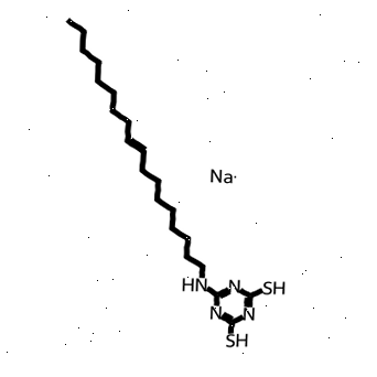 CCCCCCCCC=CCCCCCCCCNc1nc(S)nc(S)n1.[Na]